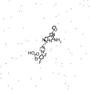 C[C@@H](Oc1cc(N2CCN(CCn3ncc4c3nc(N)n3nc(-c5ccco5)cc43)CC2)c(F)cc1F)C(=O)O